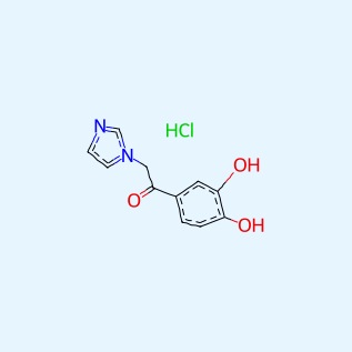 Cl.O=C(Cn1ccnc1)c1ccc(O)c(O)c1